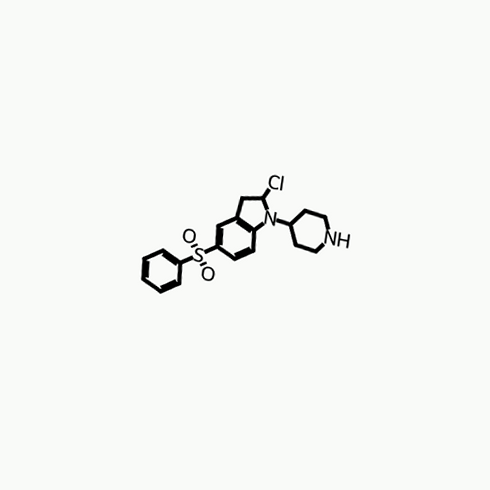 O=S(=O)(c1ccccc1)c1ccc2c(c1)CC(Cl)N2C1CCNCC1